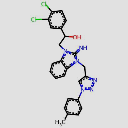 Cc1ccc(-n2cc(Cn3c(=N)n(CC(O)c4ccc(Cl)c(Cl)c4)c4ccccc43)nn2)cc1